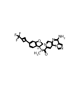 CN(C(=O)c1cc2c(cn1)nc(N)c1cncn12)[C@@H]1COc2cc(C34CC(C(F)(F)F)(C3)C4)ccc21